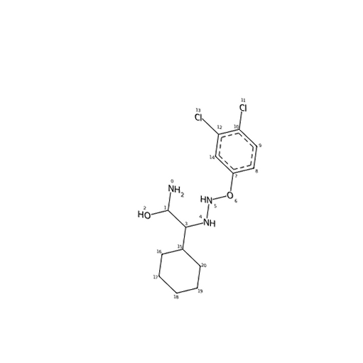 NC(O)C(NNOc1ccc(Cl)c(Cl)c1)C1CCCCC1